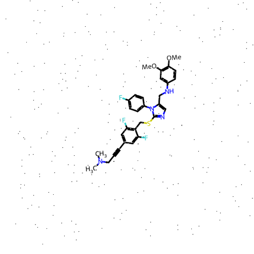 COc1ccc(NCc2cnc(SCc3c(F)cc(C#CCN(C)C)cc3F)n2-c2ccc(F)cc2)cc1OC